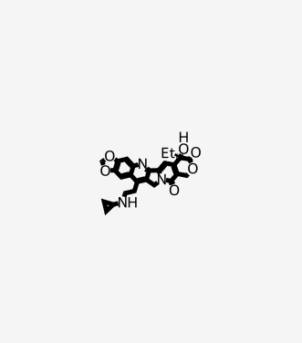 CC[C@@]1(O)C(=O)OCc2c1cc1n(c2=O)Cc2c-1nc1cc3c(cc1c2CCNC1CC1)OCO3